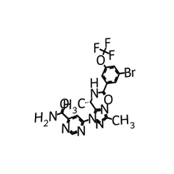 Cc1nc([C@H](C)NC(=O)c2cc(Br)cc(OC(F)(F)F)c2)n(-c2cc(C(N)=O)ncn2)n1